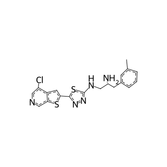 Cc1cccc(C[C@@H](N)CNc2nnc(-c3cc4c(Cl)cncc4s3)s2)c1